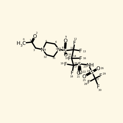 CC(=O)CN1CCN(S(=O)(=O)C(F)(F)C(F)(F)C(F)(F)S(=O)(=O)NS(=O)(=O)C(F)(F)F)CC1